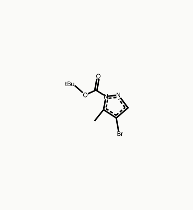 Cc1c(Br)cnn1C(=O)OC(C)(C)C